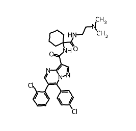 CN(C)CCNC(=O)C1(NC(=O)c2cnn3c(-c4ccc(Cl)cc4)c(-c4ccccc4Cl)cnc23)CCCCC1